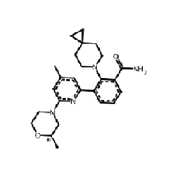 Cc1cc(-c2cccc(C(N)=O)c2N2CCC3(CC2)CC3)nc(N2CCO[C@H](C)C2)c1